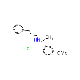 COc1cccc(C(C)NCCCc2ccccc2)c1.Cl